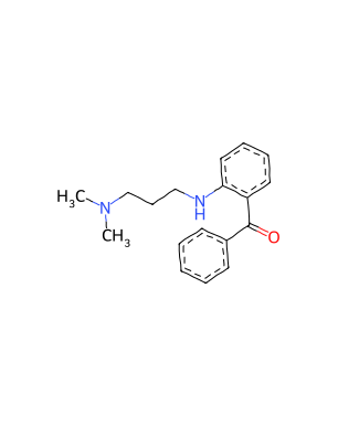 CN(C)CCCNc1ccccc1C(=O)c1ccccc1